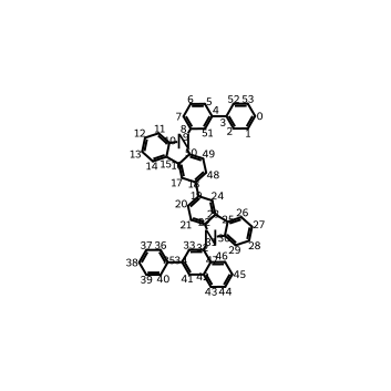 c1ccc(-c2cccc(-n3c4ccccc4c4cc(-c5ccc6c(c5)c5ccccc5n6-c5cc(-c6ccccc6)cc6ccccc56)ccc43)c2)cc1